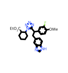 CCOC(=O)C1CCCCC1n1nnnc1C(Cc1ccc2[nH]cnc2c1)c1ccc(OC)c(F)c1